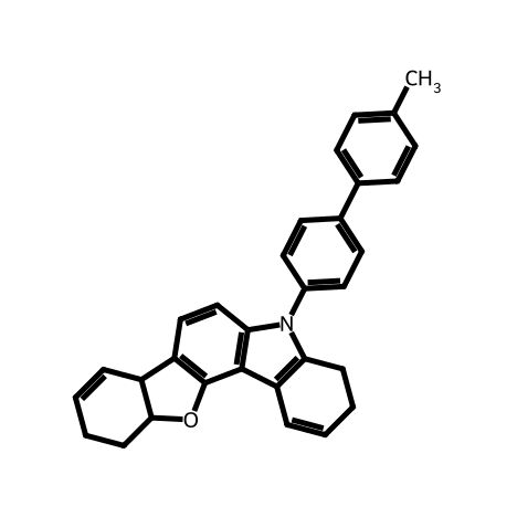 Cc1ccc(-c2ccc(-n3c4c(c5c6c(ccc53)C3C=CCCC3O6)C=CCC4)cc2)cc1